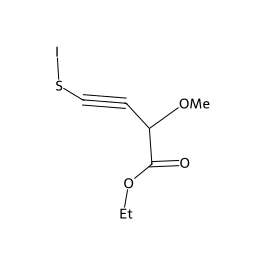 CCOC(=O)C(C#CSI)OC